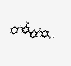 N#Cc1cc(-c2ccnc(Nc3ccc(C=O)nc3)n2)ccc1OC1CCOCC1